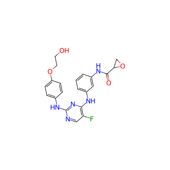 O=C(Nc1cccc(Nc2nc(Nc3ccc(OCCO)cc3)ncc2F)c1)C1CO1